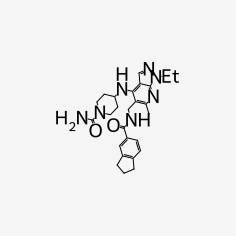 CCn1ncc2c(NC3CCN(C(N)=O)CC3)c(CNC(=O)c3ccc4c(c3)CCC4)c(C)nc21